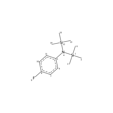 C[Si](C)(C)N(c1ccc(F)cc1)[Si](C)(C)C